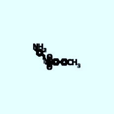 Cc1ccc(-c2ccc(N3C(=O)CN(CCc4ccc(CN)cc4)C3=O)cc2)cc1